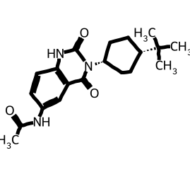 CC(=O)Nc1ccc2[nH]c(=O)n([C@H]3CC[C@@H](C(C)(C)C)CC3)c(=O)c2c1